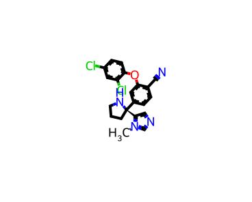 Cn1cncc1[C@@]1(c2ccc(C#N)c(Oc3ccc(Cl)cc3Cl)c2)CCCN1